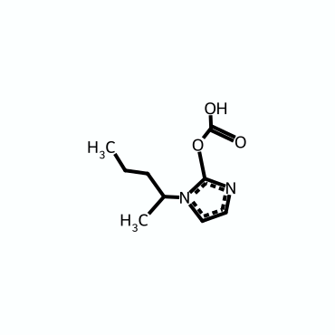 CCCC(C)n1ccnc1OC(=O)O